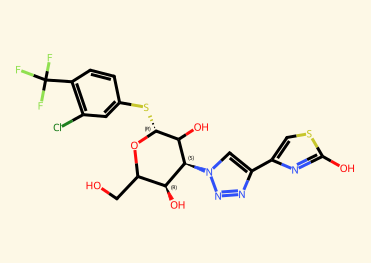 OCC1O[C@H](Sc2ccc(C(F)(F)F)c(Cl)c2)C(O)[C@@H](n2cc(-c3csc(O)n3)nn2)[C@H]1O